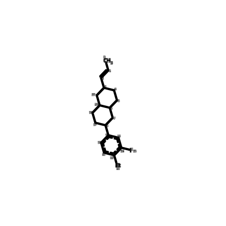 CC=CC1CCC2CC(c3ccc(CC)c(F)c3)CCC2C1